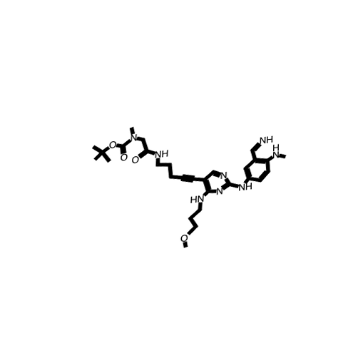 CNc1ccc(Nc2ncc(C#CCCCNC(=O)CN(C)C(=O)OC(C)(C)C)c(NCCCOC)n2)cc1C=N